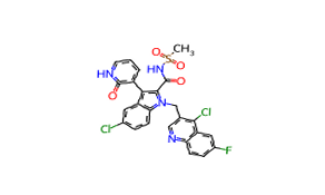 CS(=O)(=O)NC(=O)c1c(-c2ccc[nH]c2=O)c2cc(Cl)ccc2n1Cc1cnc2ccc(F)cc2c1Cl